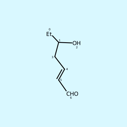 CCC(O)C/C=C/C=O